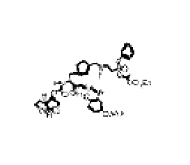 CCOC(=O)[C@H](C)OP(=O)(CCNCc1ccc(C[C@H](NC(=O)OC2CO[C@H]3OCC[C@@H]23)[C@H](O)CN(CC(C)C)Oc2ccc(OC)cc2)cc1)Oc1ccccc1